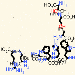 CC(C)C[C@H](N)C(=O)O.CC(C)[C@H](N)C(=O)O.CCCN[C@@H](CCO)C(=O)O.CC[C@H](C)[C@H](N)C(=O)O.CSCC[C@H](N)C(=O)O.C[C@@H](O)[C@H](N)C(=O)O.N=C(N)NCCC[C@H](N)C(=O)O.N[C@@H](Cc1c[nH]c2ccccc12)C(=O)O.N[C@@H](Cc1c[nH]cn1)C(=O)O.N[C@@H](Cc1ccccc1)C(=O)O